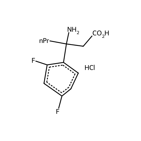 CCCC(N)(CC(=O)O)c1ccc(F)cc1F.Cl